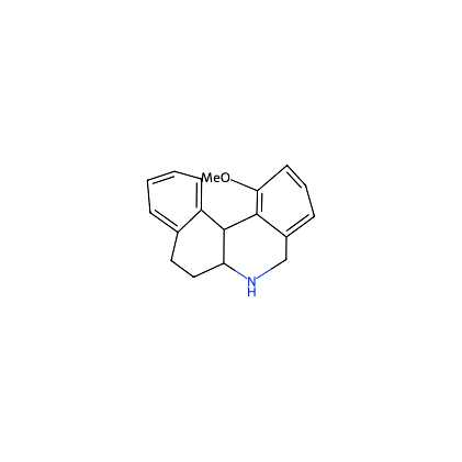 COc1cccc2c1C1c3ccccc3CCC1NC2